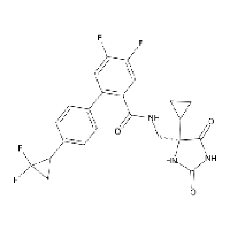 O=C1NC(=O)[C@](CNC(=O)c2cc(F)c(F)cc2-c2ccc(C3CC3(F)F)cc2)(C2CC2)N1